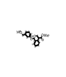 CO/C=C(/C(=O)OC)c1ccccc1COc1cccc(CO)c1